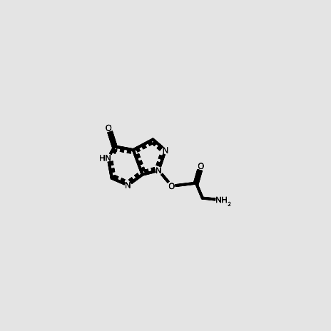 NCC(=O)On1ncc2c(=O)[nH]cnc21